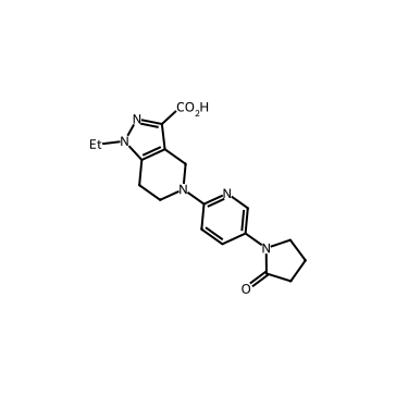 CCn1nc(C(=O)O)c2c1CCN(c1ccc(N3CCCC3=O)cn1)C2